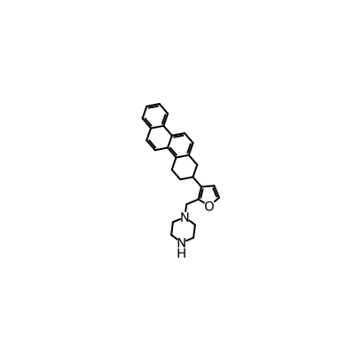 c1ccc2c(c1)ccc1c3c(ccc12)CC(c1ccoc1CN1CCNCC1)CC3